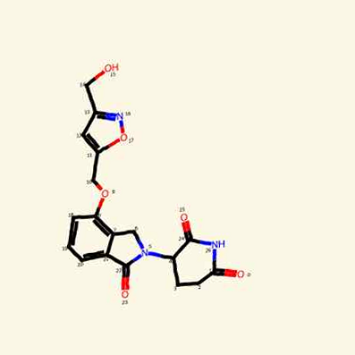 O=C1CCC(N2Cc3c(OCc4cc(CO)no4)cccc3C2=O)C(=O)N1